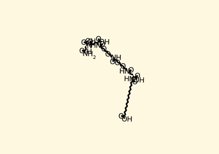 NC(=O)CC[C@H](NC(=O)CCC(NC(=O)COCCOCCNC(=O)COCCOCCNC(=O)CC[C@H](NC(=O)CCCCCCCCCCCCCCCCC(=O)O)C(=O)O)C(=O)O)C(=O)O